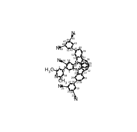 Cc1cc(-c2cc(-n3c4ccccc4c4ccc(-c5cc(C#N)cc(C#N)c5)cc43)c(-n3c4ccccc4c4ccc(-c5cc(C#N)cc(C#N)c5)cc43)cc2C#N)cc(C)n1